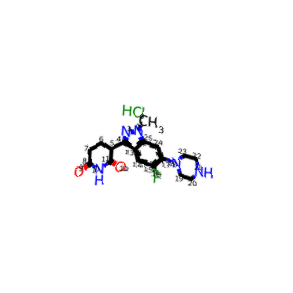 Cl.Cn1nc(C2CCC(=O)NC2=O)c2cc(F)c(N3CCNCC3)cc21